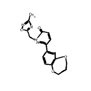 Cc1noc(Cn2nc(-c3ccc4c(c3)OCCCO4)ccc2=O)n1